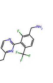 CCc1ccnc(-c2c(C(F)(F)F)ccc(CN)c2F)n1